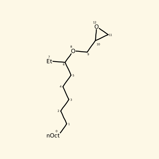 CCCCCCCCCCCCCC(CC)OCC1CO1